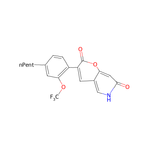 CCCCCc1ccc(-c2cc3c[nH]c(=O)cc3oc2=O)c(OC(F)(F)F)c1